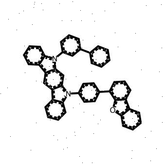 c1ccc(-c2cccc(-n3c4ccccc4c4cc5c6ccccc6n(-c6ccc(-c7cccc8c7oc7ccccc78)cc6)c5cc43)c2)cc1